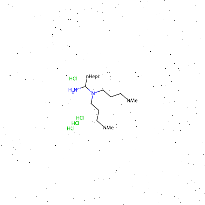 CCCCCCCC(N)N(CCCNC)CCCNC.Cl.Cl.Cl.Cl